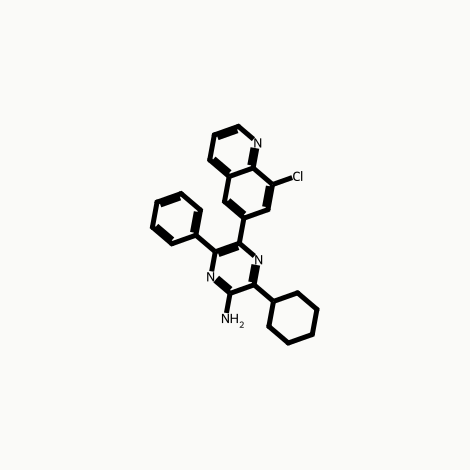 Nc1nc(-c2ccccc2)c(-c2cc(Cl)c3ncccc3c2)nc1C1CCCCC1